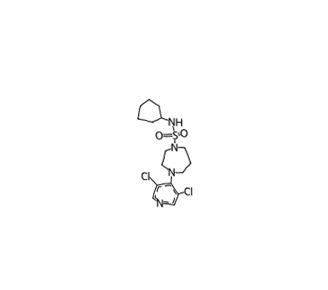 O=S(=O)(NC1CCCCC1)N1CCCN(c2c(Cl)cncc2Cl)CC1